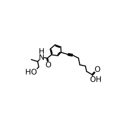 CC(CO)NC(=O)c1cccc(C#CCCCCC(=O)O)c1